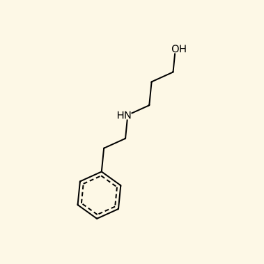 OCCCNCCc1ccccc1